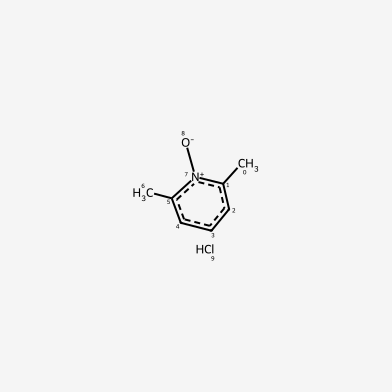 Cc1cccc(C)[n+]1[O-].Cl